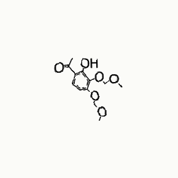 COCOc1ccc(C(C)=O)c(O)c1OCOC